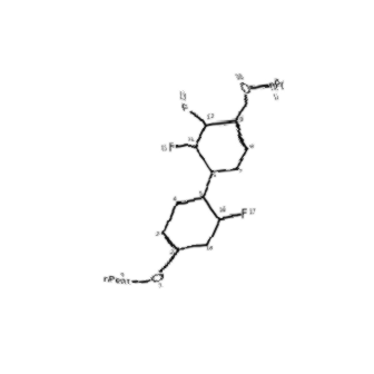 CCCCCOC1CCC(C2CCC(OCCC)C(F)C2F)C(F)C1